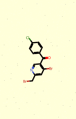 O=C(c1ccc(Cl)cc1)c1cnc(CBr)cc1Br